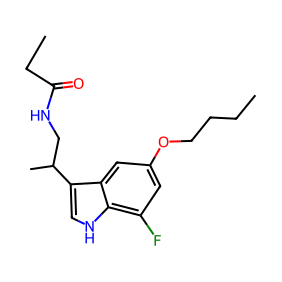 CCCCOc1cc(F)c2[nH]cc(C(C)CNC(=O)CC)c2c1